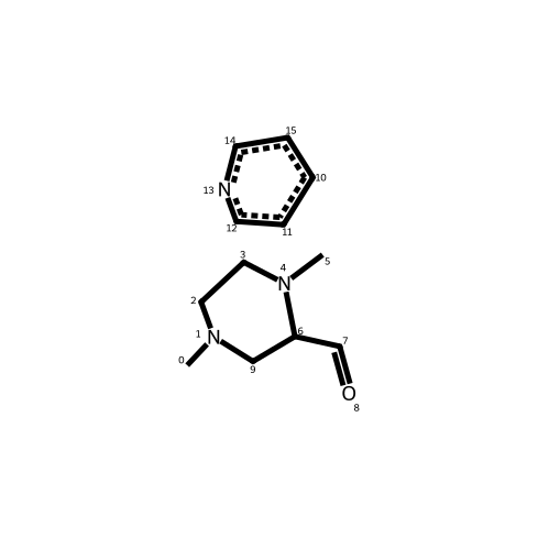 CN1CCN(C)C(C=O)C1.c1ccncc1